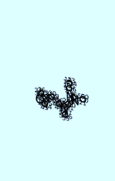 c1ccc(-c2cc(-c3ccc4ccccc4c3)nc(-c3ccc4c(c3)c3cc(-c5cccc(N6c7ccccc7Oc7ccccc76)c5)ccc3n4-c3ccccc3)n2)cc1